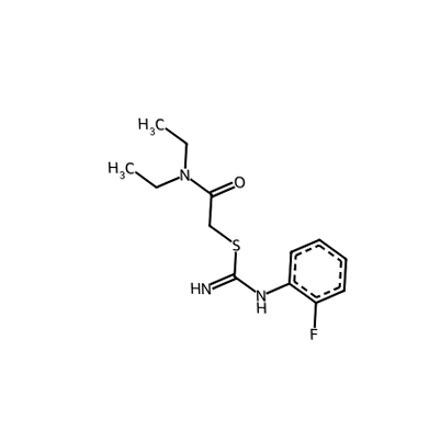 CCN(CC)C(=O)CSC(=N)Nc1ccccc1F